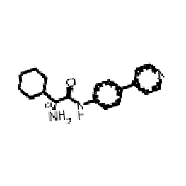 N[C@H](C(=O)Nc1ccc(-c2ccncc2)cc1)C1CCCCC1